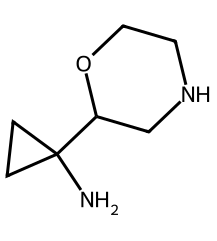 NC1(C2CNCCO2)CC1